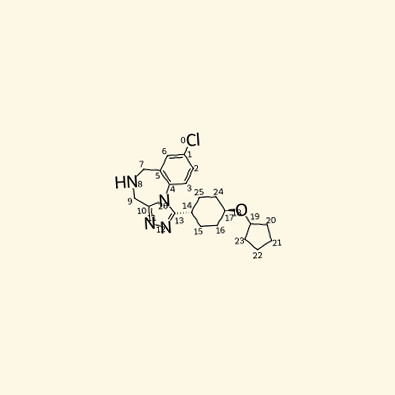 Clc1ccc2c(c1)CNCc1nnc([C@H]3CC[C@H](OC4CCCC4)CC3)n1-2